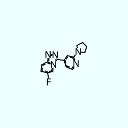 Fc1ccc2nnc(-c3ccnc(N4CCCC4)c3)n2c1